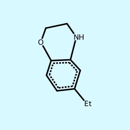 CCc1ccc2c(c1)NCCO2